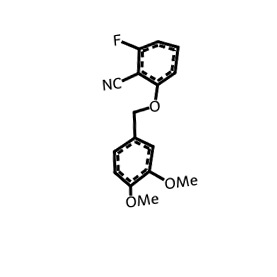 COc1ccc(COc2cccc(F)c2C#N)cc1OC